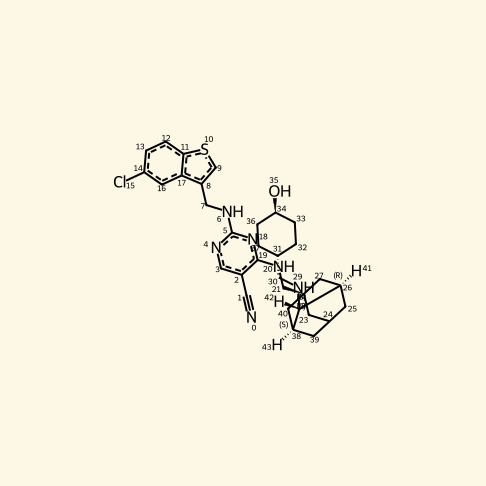 N#Cc1cnc(NCc2csc3ccc(Cl)cc23)nc1NC[C@]12CC3C[C@H](C1)[C@@H](NC[C@H]1CC[C@H](O)CC1)[C@@H](C3)C2